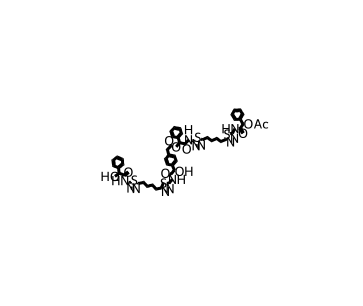 CC(=O)OC(C(=O)Nc1nnc(CCCCc2nnc(NC(=O)C(OC(=O)Cc3ccc(C(O)C(=O)Nc4nnc(CCCCc5nnc(NC(=O)C(O)c6ccccc6)s5)s4)cc3)c3ccccc3)s2)s1)c1ccccc1